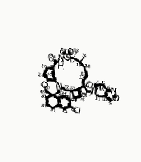 CO[C@@]1(CN2CCc3nocc3C2)/C=C/C[C@H](C)[C@@H](C)S(=O)(=O)NC(=O)c2ccc3c(c2)N(C[C@@H]2CC[C@H]21)C[C@@]1(CCCc2cc(Cl)ccc21)CO3